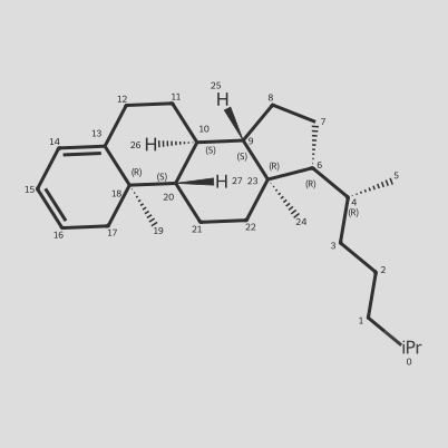 CC(C)CCC[C@@H](C)[C@H]1CC[C@H]2[C@@H]3CCC4=CC=CC[C@]4(C)[C@H]3CC[C@]12C